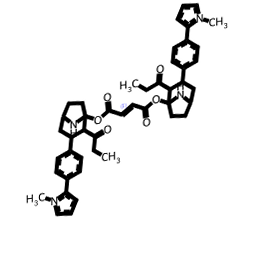 CCC(=O)C1C(c2ccc(-c3cccn3C)cc2)CC2CCC1(OC(=O)/C=C/C(=O)OC13CCC(CC(c4ccc(-c5cccn5C)cc4)C1C(=O)CC)N3)N2